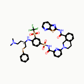 CN(C)CC[C@H](CSc1ccccc1)Nc1ccc(S(=O)(=O)NC(=O)c2cccc(N3CCc4cccc(C(=O)Nc5nc6cccnc6s5)c4C3)n2)cc1S(=O)(=O)C(F)(F)F